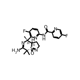 CC1(C)C(N)=N[C@](C)(c2nc(NC(=O)c3ccc(F)cn3)ccc2F)[C@@H]2CCN=[S@@]21=O